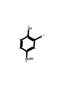 CC(=O)Nc1ccc(S)c(I)c1